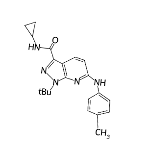 Cc1ccc(Nc2ccc3c(C(=O)NC4CC4)nn(C(C)(C)C)c3n2)cc1